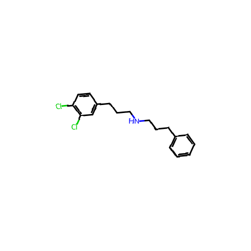 Clc1ccc(CCCNCCCc2ccccc2)cc1Cl